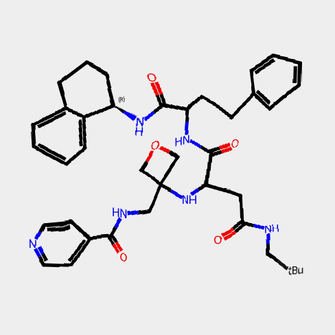 CC(C)(C)CNC(=O)CC(NC1(CNC(=O)c2ccncc2)COC1)C(=O)NC(CCc1ccccc1)C(=O)N[C@@H]1CCCc2ccccc21